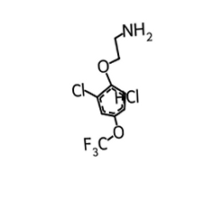 Cl.NCCOc1ccc(OC(F)(F)F)cc1Cl